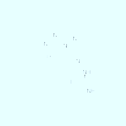 O=C1CCCCN1c1cn2c(-c3cccc(N[C@H]4CNC[C@@H]4F)n3)cnc2cn1